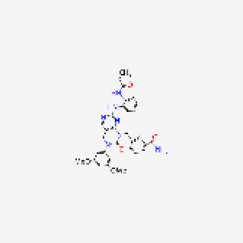 C=CC(=O)Nc1ccccc1Nc1ncc2c(n1)N(Cc1cccc(C(N)=O)c1)C(=O)N(c1cc(OC)cc(OC)c1)C2